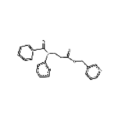 O=C(CCN(C(=O)C1=CC=C=C=C1)c1ccccn1)OCc1cccnc1